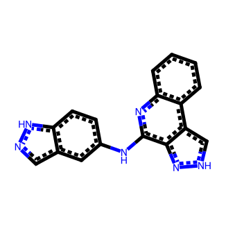 c1ccc2c(c1)nc(Nc1ccc3[nH]ncc3c1)c1n[nH]cc12